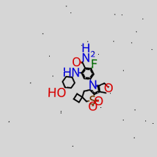 NC(=O)c1c(F)cc(-n2c3c(c4c2CC2(CCC2)CS4(=O)=O)COC3)cc1N[C@H]1CC[C@H](O)CC1